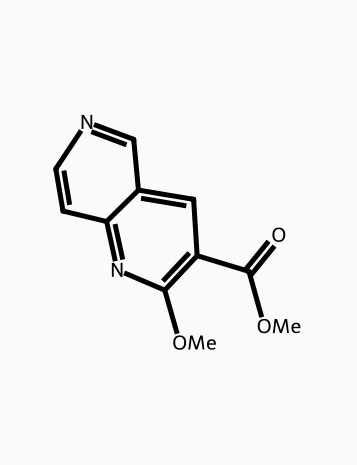 COC(=O)c1cc2cnccc2nc1OC